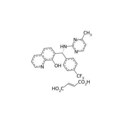 Cc1ccnc(N[C@H](c2ccc(C(F)(F)F)cc2)c2ccc3cccnc3c2O)n1.O=C(O)/C=C/C(=O)O